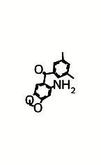 Cc1cc(C)cc(C(=O)c2cc3c(cc2N)OCO3)c1